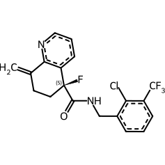 C=C1CC[C@@](F)(C(=O)NCc2cccc(C(F)(F)F)c2Cl)c2cccnc21